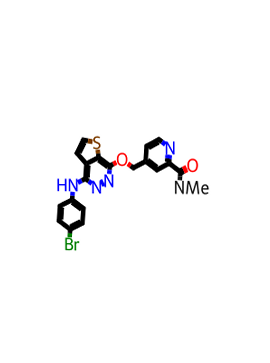 CNC(=O)c1cc(COc2nnc(Nc3ccc(Br)cc3)c3ccsc23)ccn1